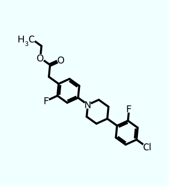 CCOC(=O)Cc1ccc(N2CCC(c3ccc(Cl)cc3F)CC2)cc1F